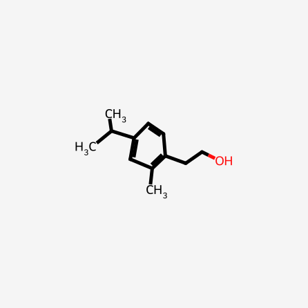 Cc1cc(C(C)C)ccc1CCO